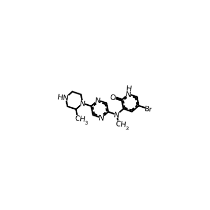 CC1CNCCN1c1cnc(N(C)c2cc(Br)c[nH]c2=O)cn1